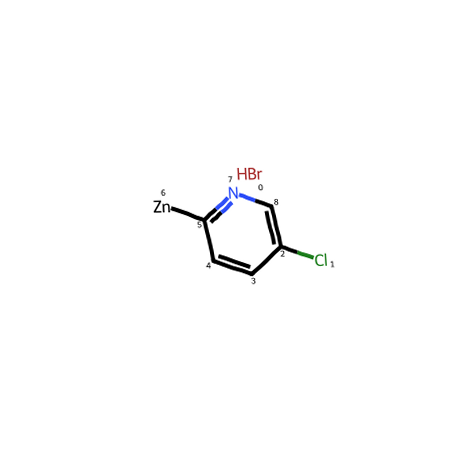 Br.Clc1cc[c]([Zn])nc1